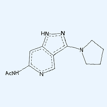 CC(=O)Nc1cc2[nH]nc(N3CCCC3)c2cn1